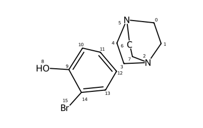 C1CN2CCN1CC2.Oc1ccccc1Br